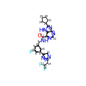 O=C(NCc1cc(F)cc(-c2cnn(CC(F)F)n2)c1)c1ncnc2nc(C3CCCC3)[nH]c12